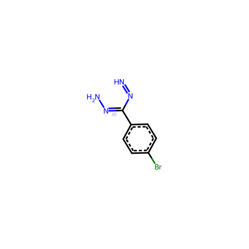 N=N/C(=N\N)c1ccc(Br)cc1